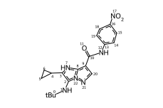 CC(C)(C)Nc1c(C2CC2)[nH]c2c(C(=O)Nc3ccc([N+](=O)[O-])cc3)cnn12